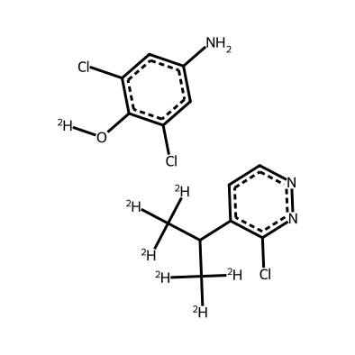 [2H]C([2H])([2H])C(c1ccnnc1Cl)C([2H])([2H])[2H].[2H]Oc1c(Cl)cc(N)cc1Cl